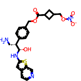 NC[C@H](c1ccc(COC(=O)C2CC(CO[N+](=O)[O-])C2)cc1)[C@H](O)Nc1cc2ccncc2s1